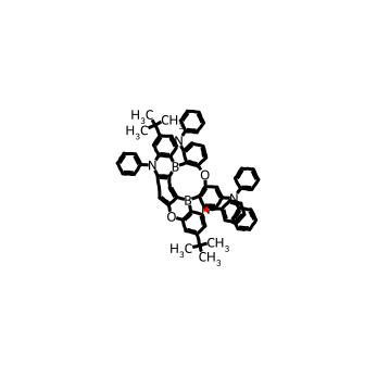 CC(C)(C)c1cc2c3c(c1)N(c1ccccc1)c1cc(N(c4ccccc4)c4ccccc4)cc4c1B3c1cc3c(cc1O2)N(c1ccccc1)c1cc(C(C)(C)C)cc2c1B3c1c(cccc1N2c1ccccc1)O4